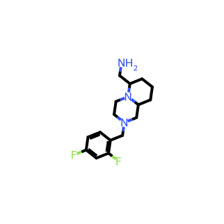 NCC1CCCC2CN(Cc3ccc(F)cc3F)CCN12